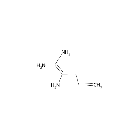 C=CCC(N)=C(N)N